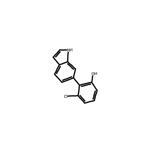 Oc1c[c]cc(Cl)c1-c1ccc2cc[nH]c2c1